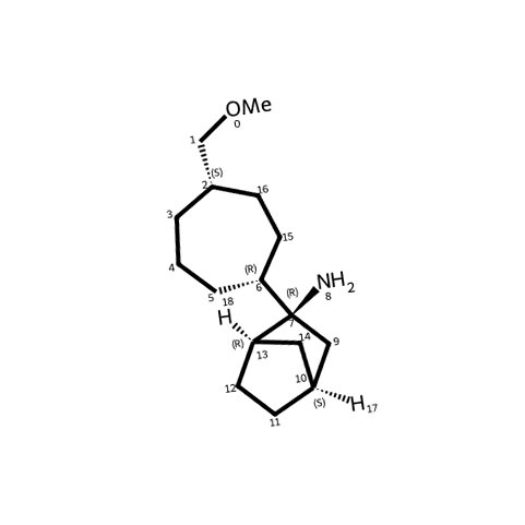 COC[C@H]1CCC[C@@H]([C@]2(N)C[C@H]3CC[C@@H]2C3)CC1